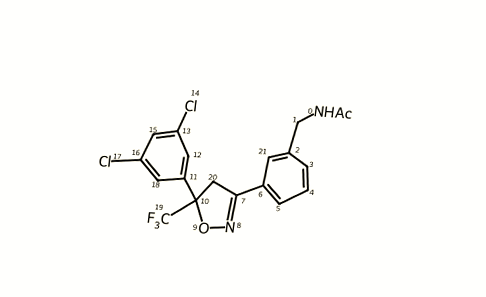 CC(=O)NCc1cccc(C2=NOC(c3cc(Cl)cc(Cl)c3)(C(F)(F)F)C2)c1